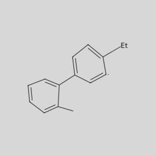 CCc1[c]cc(-c2ccccc2C)cc1